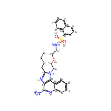 CCCCc1nc2c(N)nc3ccccc3c2n1CCOCCNS(=O)(=O)c1cccc2ccccc12